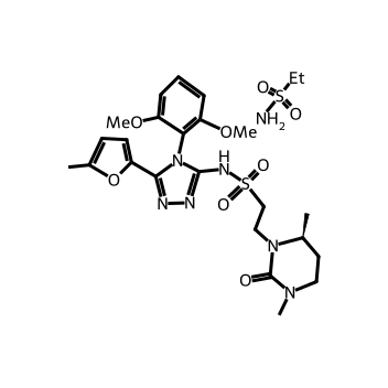 CCS(N)(=O)=O.COc1cccc(OC)c1-n1c(NS(=O)(=O)CCN2C(=O)N(C)CC[C@@H]2C)nnc1-c1ccc(C)o1